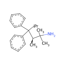 CC(C)C(c1ccccc1)(c1ccccc1)[C@H](C)C(C)(C)N